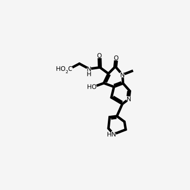 Cn1c(=O)c(C(=O)NCC(=O)O)c(O)c2cc(C3=CCNCC3)ncc21